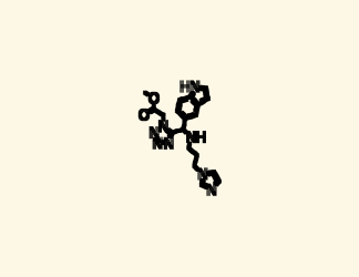 COC(=O)Cn1nnnc1C(NCCCn1ccnc1)c1ccc2[nH]ccc2c1